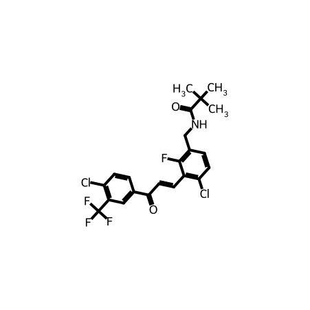 CC(C)(C)C(=O)NCc1ccc(Cl)c(C=CC(=O)c2ccc(Cl)c(C(F)(F)F)c2)c1F